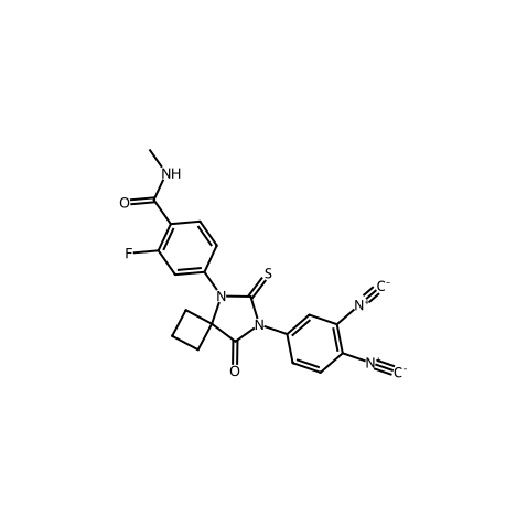 [C-]#[N+]c1ccc(N2C(=O)C3(CCC3)N(c3ccc(C(=O)NC)c(F)c3)C2=S)cc1[N+]#[C-]